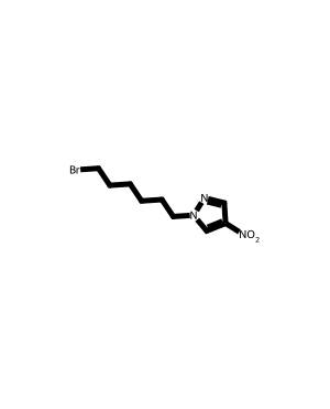 O=[N+]([O-])c1cnn(CCCCCCBr)c1